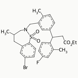 CCOC(=O)CC(c1ccc(C)c(CN2CC(C)Cc3cc(Br)ccc3S2(=O)=O)c1)c1ccc(F)cc1C